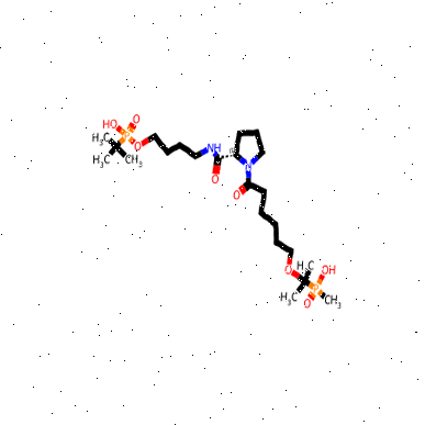 CC(C)(OCCCCCC(=O)N1CCC[C@H]1C(=O)NCCCCOP(=O)(O)C(C)(C)C)P(C)(=O)O